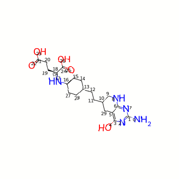 Nc1nc(O)c2c(n1)NCC(CCC1CCC(N[C@@H](CCC(=O)O)C(=O)O)CC1)C2